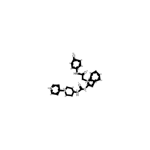 O=C(Cn1c(OC(=O)NC2CCN(c3ccncc3)CC2)cc2ccccc21)Nc1ccc(Cl)cc1